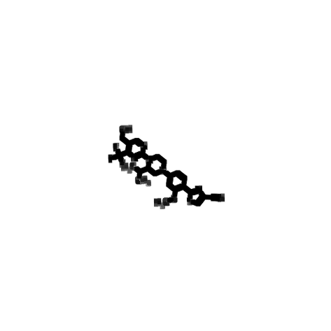 CSc1cc(N2CCN(c3ncc(CO)c(C(F)(F)F)n3)C(C(C)C)C2)ccc1-c1nc(C#N)cs1